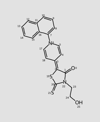 O=C1C(=C2C=CN(c3cccc4ccccc34)C=C2)SC(=S)N1CCO